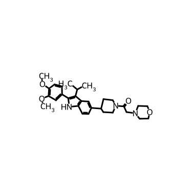 COc1ccc(-c2[nH]c3ccc(C4CCN(C(=O)CN5CCOCC5)CC4)cc3c2C(C)C)cc1OC